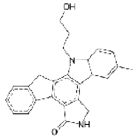 CC1=CC2c3c4c(c5c(c3N(CCCO)C2C=C1)Cc1ccccc1-5)C(=O)NC4